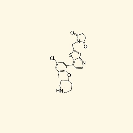 Cc1cc(Cl)cc(-c2ccnc3cc(CN4C(=O)CCC4=O)sc23)c1OC1CCCNCC1